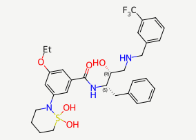 CCOc1cc(C(=O)N[C@@H](Cc2ccccc2)[C@H](O)CNCc2cccc(C(F)(F)F)c2)cc(N2CCCCS2(O)O)c1